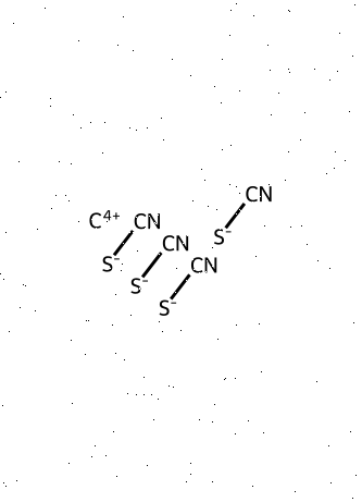 N#C[S-].N#C[S-].N#C[S-].N#C[S-].[C+4]